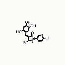 CC(C)C1=NN(c2ccc(Cl)nc2)C(=O)C1=Cc1cc(O)c(O)cc1O